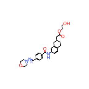 O=C(CC1CCc2ccc(NC(=O)c3ccc(/C=N/N4CCOCC4)cc3)cc2C1)OCCO